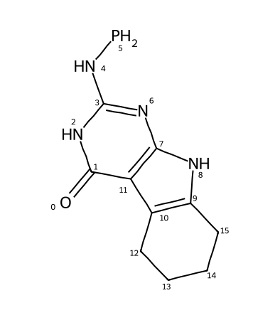 O=c1[nH]c(NP)nc2[nH]c3c(c12)CCCC3